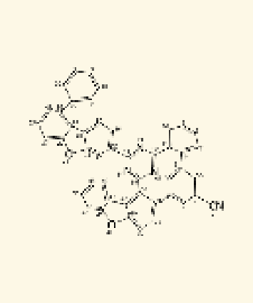 N#Cc1cccc(-c2ccccc2-c2nc(-c3ccc4c(c3)oc3cccc(-c5ccccc5)c34)nc(-c3cccc4oc5ccccc5c34)n2)c1